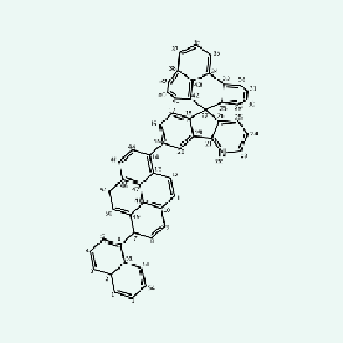 C1=CC2C=CC=C(C3C=Cc4ccc5c(-c6ccc7c(c6)-c6ncccc6C76c7ccccc7-c7cccc8cccc6c78)ccc6c5c4C3=CC6)C2C=C1